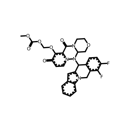 COC(=O)OCOc1c2n(ccc1=O)N(C1c3ccc(F)c(F)c3Cn3c1cc1ccccc13)C1COCCN1C2=O